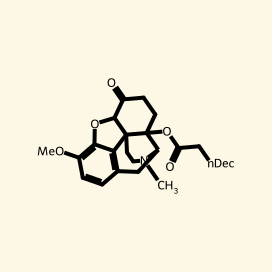 CCCCCCCCCCCC(=O)OC12CCC(=O)C3Oc4c(OC)ccc5c4C31CCN(C)C2C5